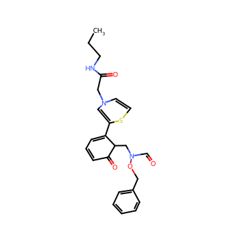 CCCNC(=O)CN1C=CSC(C2=CC=CC(=O)C2CN(C=O)OCc2ccccc2)=C1